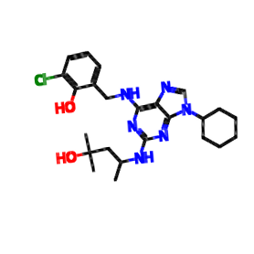 CC(CC(C)(C)O)Nc1nc(NCc2cccc(Cl)c2O)c2ncn(C3CCCCC3)c2n1